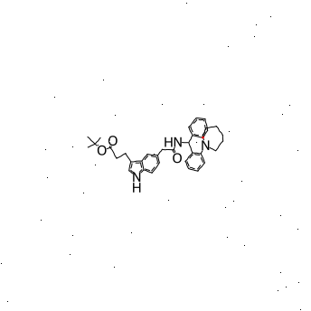 CC(C)(C)OC(=O)CCc1c[nH]c2ccc(CC(=O)NC(c3ccccc3)c3ccccc3N3CCCCCC3)cc12